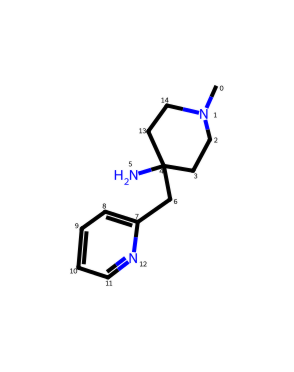 CN1CCC(N)(Cc2ccccn2)CC1